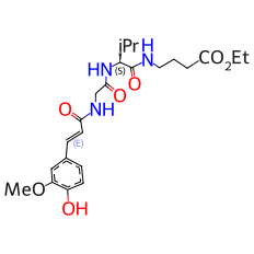 CCOC(=O)CCCNC(=O)[C@@H](NC(=O)CNC(=O)/C=C/c1ccc(O)c(OC)c1)C(C)C